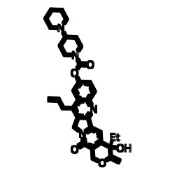 C=CCc1c2c(nc3ccc(OC(=O)N4CCC(N5CCCCC5)CC4)cc13)-c1cc3c(c(=O)n1C2)COC(=C)[C@]3(O)CC